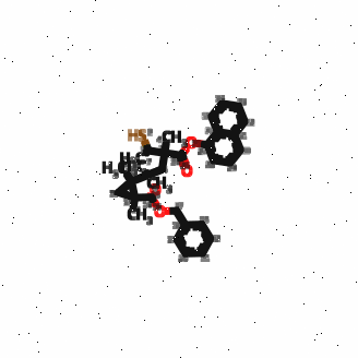 CC(S)C(C)(CC(C)(C)C1(C)CC1(C)C(=O)OCc1ccccc1)C(=O)Oc1cccc2ccccc12